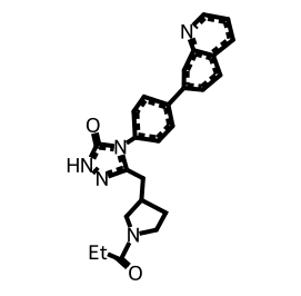 CCC(=O)N1CCC(Cc2n[nH]c(=O)n2-c2ccc(-c3ccc4cccnc4c3)cc2)C1